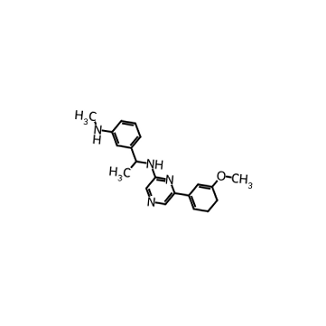 CNc1cccc(C(C)Nc2cncc(C3=CCCC(OC)=C3)n2)c1